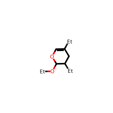 CCOC1OC=C(CC)CC1CC